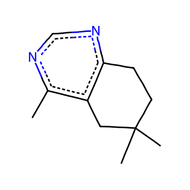 Cc1ncnc2c1CC(C)(C)CC2